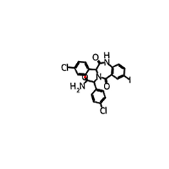 NC(=O)C(c1ccc(Cl)cc1)N1C(=O)c2cc(I)ccc2NC(=O)C1c1ccc(Cl)cc1